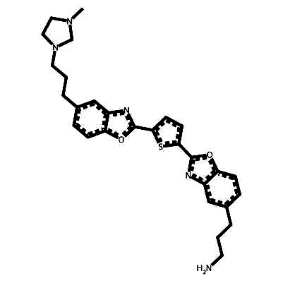 CN1CCN(CCCc2ccc3oc(-c4ccc(-c5nc6cc(CCCN)ccc6o5)s4)nc3c2)C1